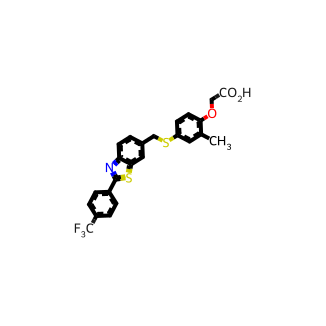 Cc1cc(SCc2ccc3nc(-c4ccc(C(F)(F)F)cc4)sc3c2)ccc1OCC(=O)O